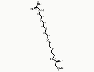 COCC(=O)NCCOCCOCCOCCOCCNC(=O)C(C)(C)C